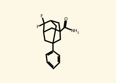 NC(=O)C12CC3CC(c4ccccc4)(CC(C1)C3(F)F)C2